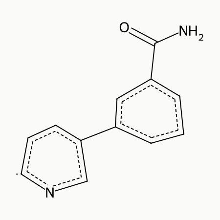 NC(=O)c1cccc(-c2cc[c]nc2)c1